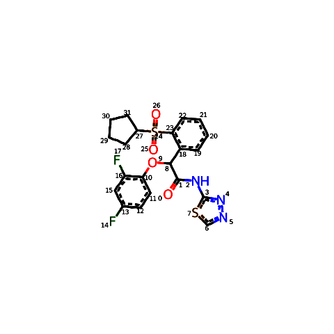 O=C(Nc1nncs1)C(Oc1ccc(F)cc1F)c1ccccc1S(=O)(=O)C1CCCC1